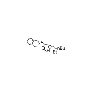 CCCCC(CC)COCC(C[N+]1=Cc2ccccc2CC1)OS